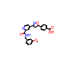 COc1cccc(CNC(=O)c2cc(C3=NOC(c4ccc(C(=O)O)cc4)C3)ccn2)c1